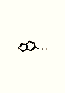 O=C(O)c1ccc2c(c1)CN=C2